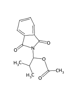 CC(=O)OC(C(C)C)N1C(=O)c2ccccc2C1=O